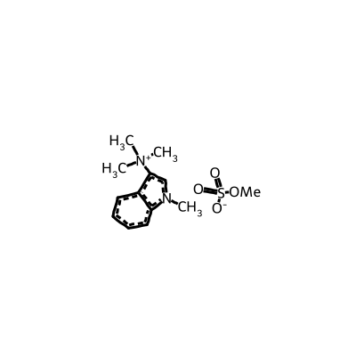 COS(=O)(=O)[O-].Cn1cc([N+](C)(C)C)c2ccccc21